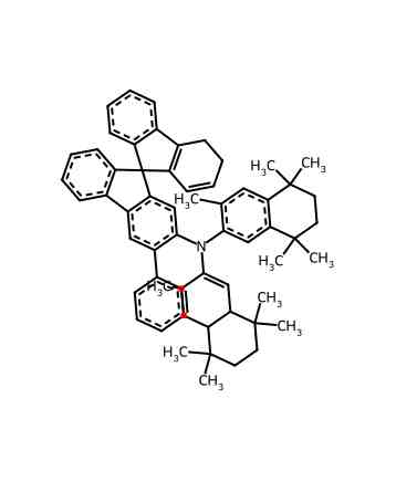 CC1=CC2C(C=C1N(c1cc3c(cc1C)C(C)(C)CCC3(C)C)c1cc3c(cc1-c1ccccc1)-c1ccccc1C31C3=C(CCC=C3)c3ccccc31)C(C)(C)CCC2(C)C